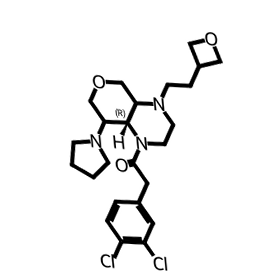 O=C(Cc1ccc(Cl)c(Cl)c1)N1CCN(CCC2COC2)C2COCC(N3CCCC3)[C@H]21